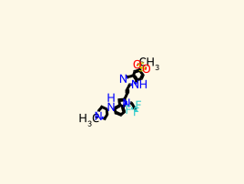 CN1CCC(Nc2cccc3c2cc(C#CCNc2ccc(S(C)(=O)=O)cc2C#N)n3CC(F)(F)F)CC1